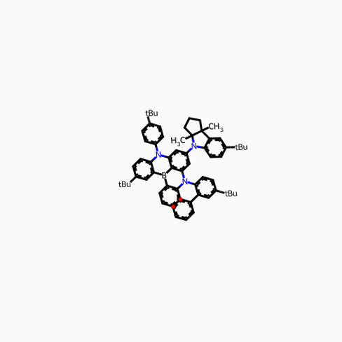 CC(C)(C)c1ccc(N2c3ccc(C(C)(C)C)cc3B3c4ccccc4N(c4ccc(C(C)(C)C)cc4-c4ccccc4)c4cc(N5c6ccc(C(C)(C)C)cc6C6(C)CCCC56C)cc2c43)cc1